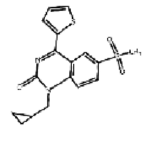 CS(=O)(=O)c1ccc2c(c1)c(-c1cccs1)nc(=O)n2CC1CC1